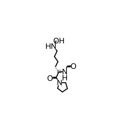 O=CN[C@@H](CCCCNO)C(=O)N1CCCC1